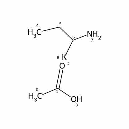 CC(=O)O.CC[CH](N)[K]